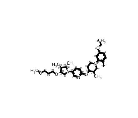 CCOc1ccc(F)c(N2CCC(Oc3ccc(N4C[C@H](OCCCOC)[C@@H](C)[C@@H]4C)cn3)C(C)C2)c1